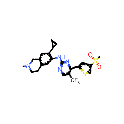 CN1CCc2cc(Nc3ncc(C(F)(F)F)c(-c4cc(S(C)(=O)=O)cs4)n3)c(C3CC3)cc2C1